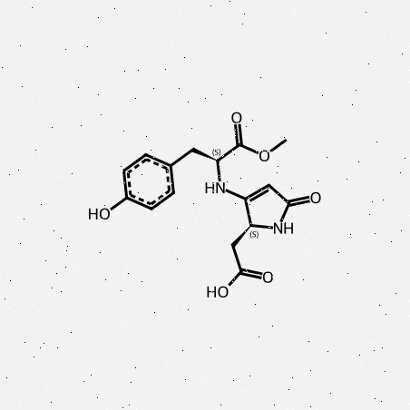 COC(=O)[C@H](Cc1ccc(O)cc1)NC1=CC(=O)N[C@H]1CC(=O)O